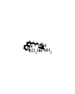 NC1[C@H]2CN(CCCc3ccc4c(n3)N(C(=O)O)CCC4)C[C@@H]12